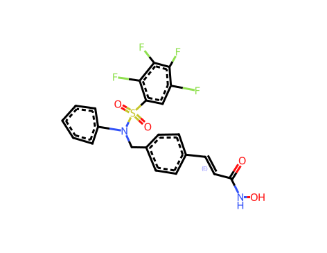 O=C(/C=C/c1ccc(CN(c2ccccc2)S(=O)(=O)c2cc(F)c(F)c(F)c2F)cc1)NO